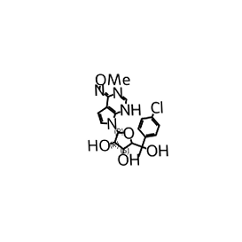 CON=c1nc[nH]c2c1ccn2[C@@H]1OC(C(C)(O)c2ccc(Cl)cc2)[C@@H](O)[C@H]1O